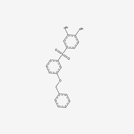 CCCc1ccc(S(=O)(=O)c2cccc(OCc3ccccc3)c2)cc1CCC